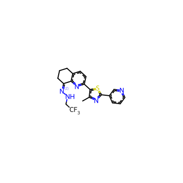 Cc1nc(-c2cccnc2)sc1-c1ccc2c(n1)/C(=N\NCC(F)(F)F)CCC2